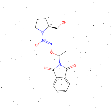 CC(ON=[N+]([O-])N1CCC[C@H]1CO)N1C(=O)c2ccccc2C1=O